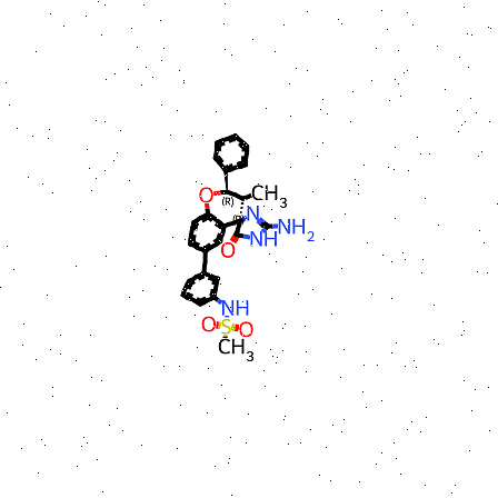 CC1[C@H](c2ccccc2)Oc2ccc(-c3cccc(NS(C)(=O)=O)c3)cc2[C@]12N=C(N)NC2=O